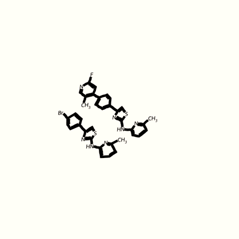 Cc1cccc(Nc2nc(-c3ccc(-c4cc(F)ncc4C)cc3)cs2)n1.Cc1cccc(Nc2nc(-c3ccc(Br)cc3)cs2)n1